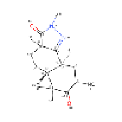 [C-]#[N+]C1C[C@]2(C)C3=NN(C)C(=O)C3(C)CC[C@H]2C(C)(C)C1=O